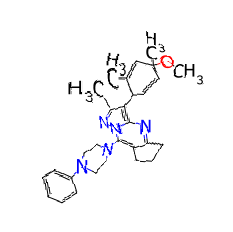 COC1(C)C=CC(c2c(C)nn3c(N4CCN(c5ccccc5)CC4)c4c(nc23)CCC4)C(C)=C1